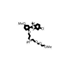 COCCOCOCCN(CCCOc1ccc(OC)cc1C1Sc2cc(Cl)ccc2N1C(C)=O)C(C)C